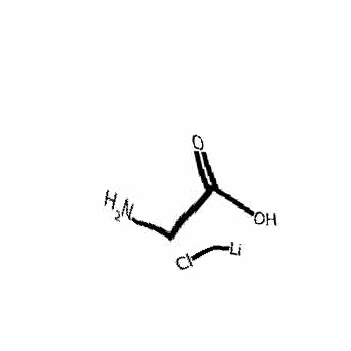 NCC(=O)O.[Li][Cl]